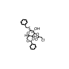 O=C(CCl)O[C@@H]1[C@@H](O)[C@H](SCc2ccccc2)O[C@@H]2COC(c3ccccc3)O[C@H]12